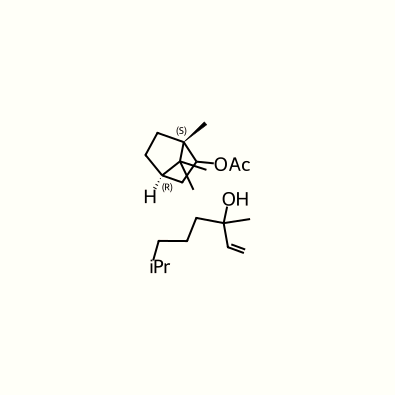 C=CC(C)(O)CCCC(C)C.CC(=O)OC1C[C@H]2CC[C@@]1(C)C2(C)C